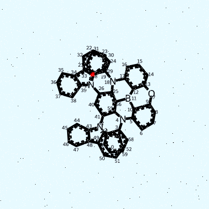 c1ccc(N2c3cccc4c3B3c5c(cccc5N(c5ccccc5)c5c(-n6c7ccccc7c7ccccc76)cc(-n6c7ccccc7c7ccccc76)c2c53)O4)cc1